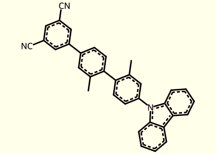 Cc1cc(-c2cc(C#N)cc(C#N)c2)ccc1-c1ccc(-n2c3ccccc3c3ccccc32)cc1C